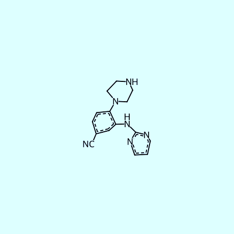 N#Cc1ccc(N2CCNCC2)c(Nc2ncccn2)c1